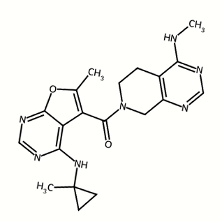 CNc1ncnc2c1CCN(C(=O)c1c(C)oc3ncnc(NC4(C)CC4)c13)C2